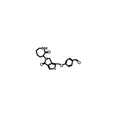 O=Cc1ccc(OCc2scc3c2CN(C2CCCCNC2=O)C3=O)cc1